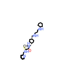 CS[C@H](NCc1ccccn1)C(=O)NC[C@H]1CC[C@H](CNCCCNC2CCCCC2)CC1